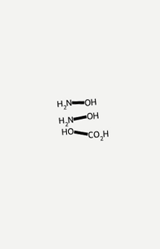 NO.NO.O=C(O)O